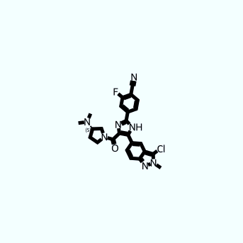 CN(C)[C@H]1CCN(C(=O)c2nc(-c3ccc(C#N)c(F)c3)[nH]c2-c2ccc3nn(C)c(Cl)c3c2)C1